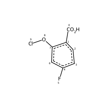 O=C(O)c1ccc(F)cc1OCl